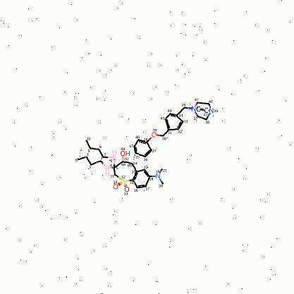 CCCCBC1(BCCCC)CS(=O)(=O)c2ccc(N(C)C)cc2[C@@H](c2ccc(OCc3ccc(C[N+]45CCN(CC4)CC5)cc3)cc2)[C@H]1O